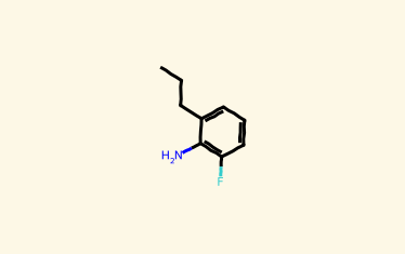 CCCc1cccc(F)c1N